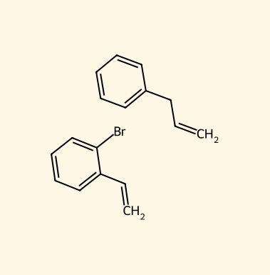 C=CCc1ccccc1.C=Cc1ccccc1Br